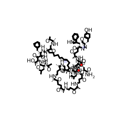 CC(=O)N[C@@H](CC(C)C)C(=O)N[C@H](C(=O)C(=O)[C@H](Cc1ccccc1)NN[C@](C)(CCCCCC/C=C/CCC[C@](C)(NC(=O)[C@H](CC(C)C)NN[C@@H](CCC(N)=O)C(=O)CN[C@@H](C)C(=O)CC(=O)[C@H](Cc1c[nH]c2ccccc12)/N=N\[C@H](C=O)CC1=CC=C(O)CC1)C(=O)CN[C@@H](C)C(=O)CCN[C@@H](C)C(=O)CCC(=O)[C@H](C)NCCC(=O)[C@H](C)NCCC(=O)[C@H](C)NCN[C@H](C)C(N)=O)C(=O)CN[C@@H](C)C(C)=O)[C@@H](C)O